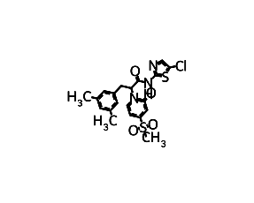 Cc1cc(C)cc(CC(C(=O)Nc2ncc(Cl)s2)n2ccc(S(C)(=O)=O)cc2=O)c1